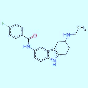 CCNC1CCc2[nH]c3ccc(NC(=O)c4ccc(F)cc4)cc3c2C1